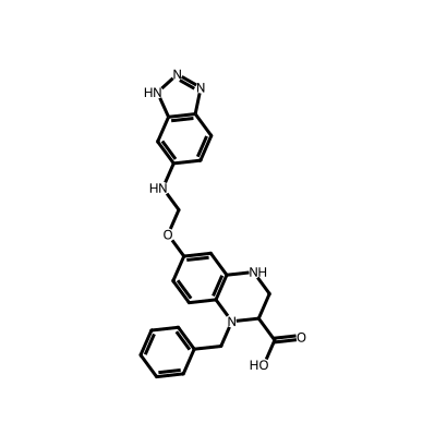 O=C(O)C1CNc2cc(OCNc3ccc4nn[nH]c4c3)ccc2N1Cc1ccccc1